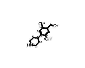 O=Cc1cc(O)c(C2CCNCC2)cc1Cl